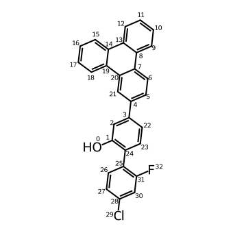 Oc1cc(-c2ccc3c4ccccc4c4ccccc4c3c2)ccc1-c1ccc(Cl)cc1F